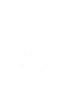 Bc1cnn2c(NCc3cccnc3)cc(C3CCCN(C(=O)N(CC)CC)C3)nc12